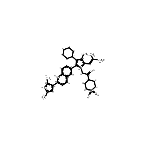 C/C(=C\c1c(C)c(C2CCCCC2)c(-c2ccc3nc(-c4cc(C)sc4C)ccc3c2)n1CC(=O)C1CCS(=O)(=O)CC1)C(=O)O